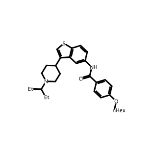 CCCCCCOc1ccc(C(=O)Nc2ccc3scc(C4CCN(C(CC)CC)CC4)c3c2)cc1